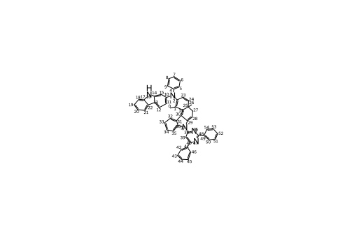 CC1=C(N(c2ccccc2)c2ccc3c(c2)[nH]c2ccccc23)C=CC2(C)CC=c3c(c4ccccc4n3-c3cc(-c4ccccc4)nc(-c4ccccc4)n3)=C12